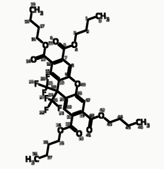 CCCCOC(=O)c1cc2c(cc1C(=O)OCCCC)C(C(F)(F)F)(C(F)(F)F)c1cc(C(=O)OCCCC)c(C(=O)OCCCC)cc1O2